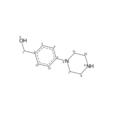 OCc1ccc(N2CCNCC2)cc1